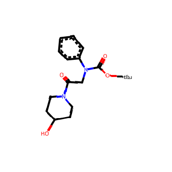 CC(C)(C)OC(=O)N(CC(=O)N1CCC(O)CC1)c1ccccc1